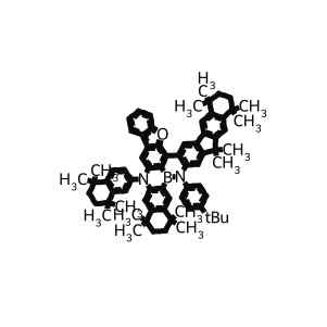 CC(C)(C)c1ccc(N2B3c4cc5c(cc4N(c4ccc6c(c4)C(C)(C)CCC6(C)C)c4cc6c(oc7ccccc76)c(c43)-c3cc4c(cc32)C(C)(C)c2cc3c(cc2-4)C(C)(C)CCC3(C)C)C(C)(C)CCC5(C)C)cc1